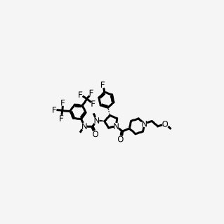 COCCN1CCC(C(=O)N2C[C@@H](N(C)C(=O)N(C)c3cc(C(F)(F)F)cc(C(F)(F)F)c3)[C@H](c3ccc(F)cc3)C2)CC1